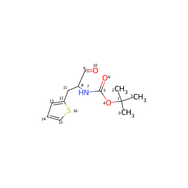 CC(C)(C)OC(=O)NC([C]=O)Cc1cccs1